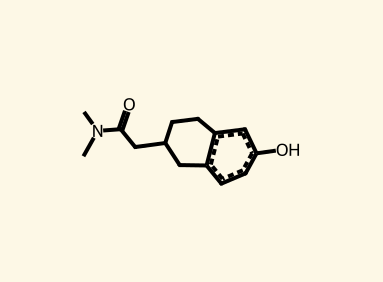 CN(C)C(=O)CC1CCc2cc(O)ccc2C1